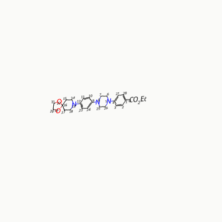 CCOC(=O)c1ccc(N2CCN(c3ccc(N4CCC5(CC4)OCCO5)cc3)CC2)cc1